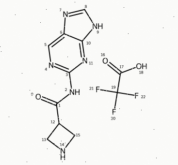 O=C(Nc1ncc2nc[nH]c2n1)C1CNC1.O=C(O)C(F)(F)F